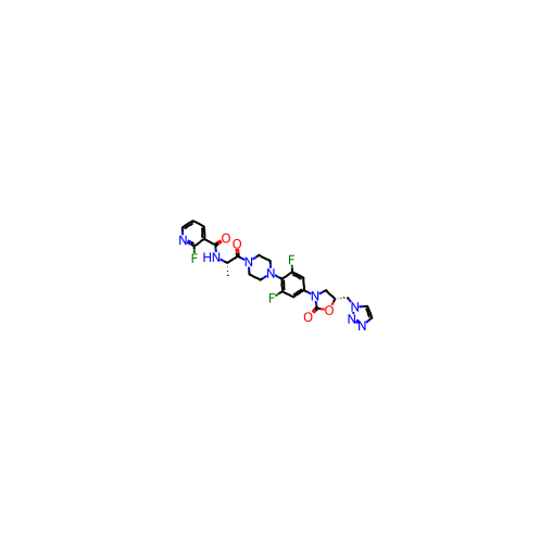 C[C@H](NC(=O)c1cccnc1F)C(=O)N1CCN(c2c(F)cc(N3C[C@H](Cn4ccnn4)OC3=O)cc2F)CC1